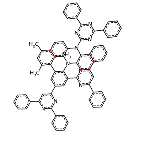 Cc1cc(C)c(-c2cc(-c3cc(-c4ccccc4)nc(-c4ccccc4)n3)cc(-c3nc(-c4ccccc4)cc(-c4ccccc4)n3)c2N2c3ccccc3N(c3nc(-c4ccccc4)nc(-c4ccccc4)n3)c3ccccc32)c(C)c1